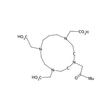 CC(C)(C)C(=O)CN1CCN(CC(=O)O)CCCN(CC(=O)O)CCN(CC(=O)O)CC1